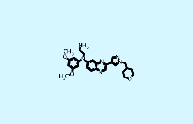 COc1cc(OC)cc(N(CCN)c2ccc3ncc(-c4cnn(CC5CCOCC5)c4)nc3c2)c1